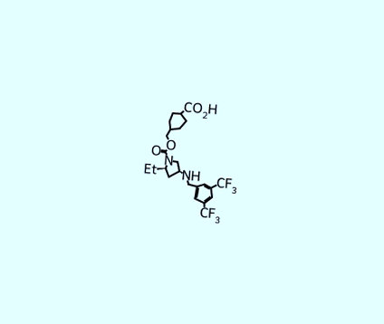 CC[C@@H]1C[C@H](NCc2cc(C(F)(F)F)cc(C(F)(F)F)c2)CN1C(=O)OCC1CCC(C(=O)O)CC1